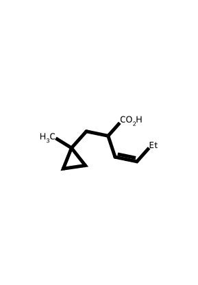 CC/C=C\C(CC1(C)CC1)C(=O)O